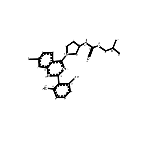 Cc1ccc2c(N3CCC(NC(=O)OCC(C)C)C3)nc(-c3c(O)cccc3F)nc2c1